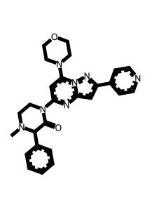 CN1CCN(c2cc(N3CCOCC3)n3nc(-c4ccncc4)cc3n2)C(=O)C1c1ccccc1